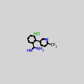 Cl.N=C(N)c1ccccc1-c1ccc(C(F)(F)F)nc1